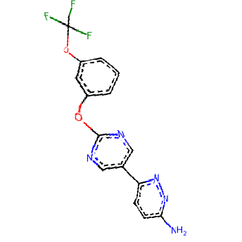 Nc1ccc(-c2cnc(Oc3cccc(OC(F)(F)F)c3)nc2)nn1